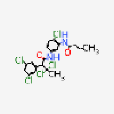 CCCC(=O)Nc1cc(NC(=O)C(c2cc(Cl)cc(Cl)c2)C(C)(Cl)Cl)ccc1Cl